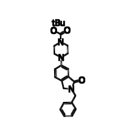 CC(C)(C)OC(=O)N1CCN(c2ccc3c(c2)C(=O)N(Cc2ccccc2)C3)CC1